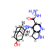 NNC(=O)c1cnc2c(c1N[C@H]1[C@@H]3CC4C[C@H]1C[C@@](O)(C4)C3)CCN2